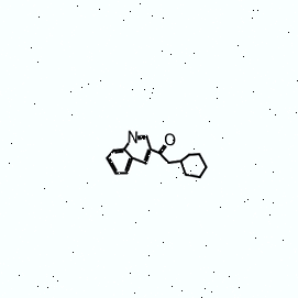 O=C(CC1CCCCC1)c1cnc2ccccc2c1